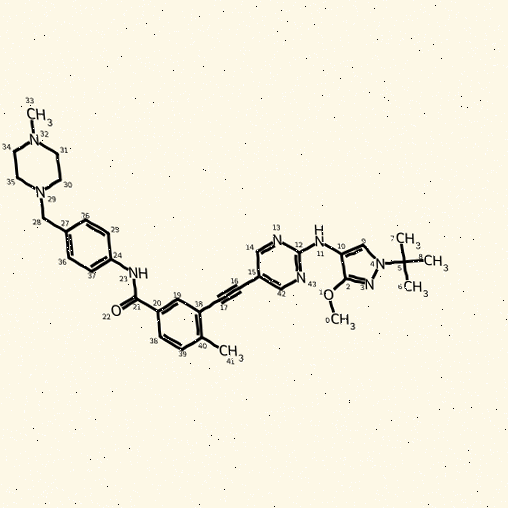 COc1nn(C(C)(C)C)cc1Nc1ncc(C#Cc2cc(C(=O)Nc3ccc(CN4CCN(C)CC4)cc3)ccc2C)cn1